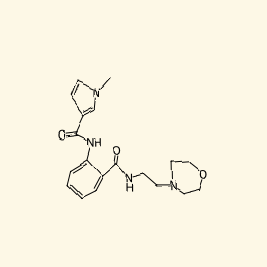 Cn1ccc(C(=O)Nc2ccccc2C(=O)NCCN2CCOCC2)c1